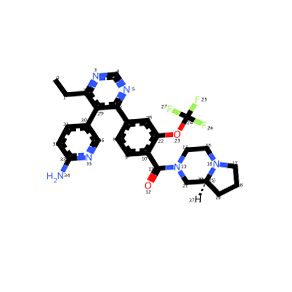 CCc1ncnc(-c2ccc(C(=O)N3CCN4CCC[C@H]4C3)c(OC(F)(F)F)c2)c1-c1ccc(N)nc1